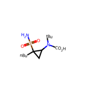 CCCCC1(S(N)(=O)=O)CC1N(C(=O)O)C(C)(C)C